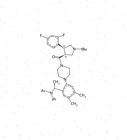 CC(=O)N(C(C)C)C(C)c1cc(C)c(C)cc1N1CCN(C(=O)[C@@H]2CN(C(C)(C)C)C[C@@H]2c2ccc(F)cc2F)CC1